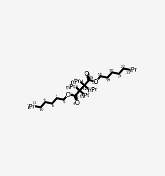 CCCC(CCC)(C(=O)OCCCCCC(C)C)C(CCC)(CCC)C(=O)OCCCCCC(C)C